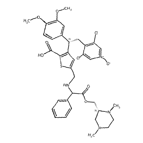 COc1ccc([C@H](Cc2c(Cl)c[n+]([O-])cc2Cl)c2cc(CNC(C(=O)OC[C@H]3CN(C)CCN3C)c3ccccc3)sc2C(=O)O)cc1OC